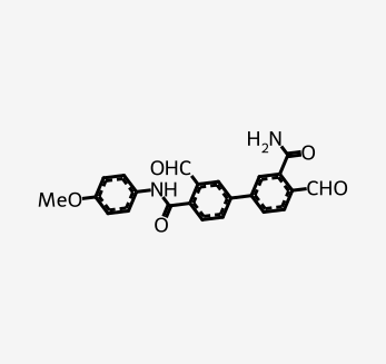 COc1ccc(NC(=O)c2ccc(-c3ccc(C=O)c(C(N)=O)c3)cc2C=O)cc1